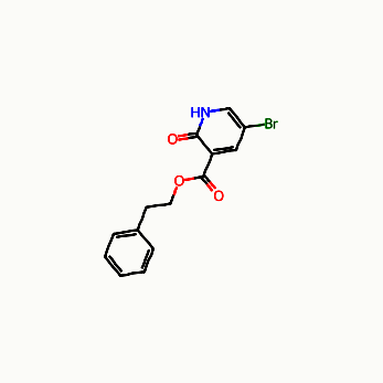 O=C(OCCc1ccccc1)c1cc(Br)c[nH]c1=O